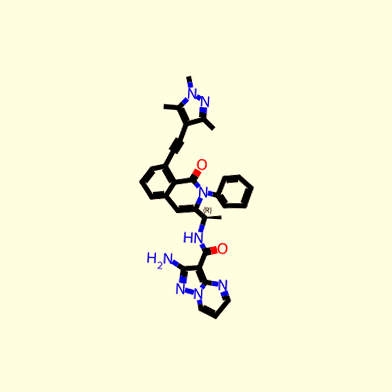 Cc1nn(C)c(C)c1C#Cc1cccc2cc([C@@H](C)NC(=O)c3c(N)nn4cccnc34)n(-c3ccccc3)c(=O)c12